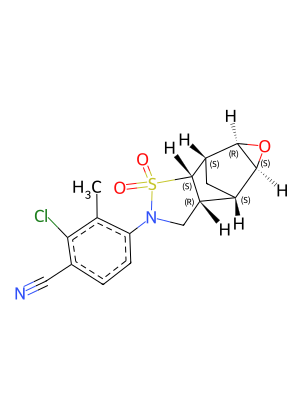 Cc1c(N2C[C@H]3[C@@H]4C[C@@H]([C@H]5O[C@@H]45)[C@H]3S2(=O)=O)ccc(C#N)c1Cl